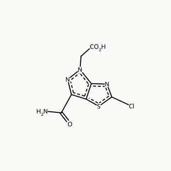 NC(=O)c1nn(CC(=O)O)c2nc(Cl)sc12